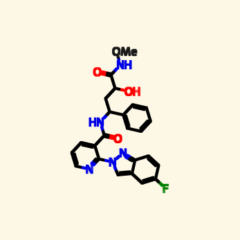 CONC(=O)C(O)CC(NC(=O)c1cccnc1-n1cc2cc(F)ccc2n1)c1ccccc1